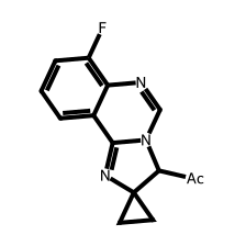 CC(=O)C1N2C=Nc3c(F)cccc3C2=NC12CC2